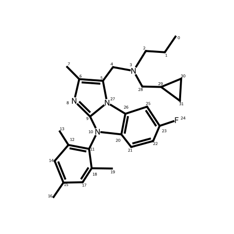 CCCN(Cc1c(C)nc2n(-c3c(C)cc(C)cc3C)c3ccc(F)cc3n12)CC1CC1